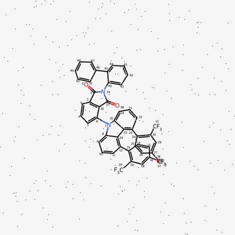 O=C1c2cccc(-n3c4cccc(-c5ccc(C(F)(F)F)cc5C(F)(F)F)c4c4c(-c5ccc(C(F)(F)F)cc5C(F)(F)F)cccc43)c2C(=O)N1c1ccccc1-c1ccccc1